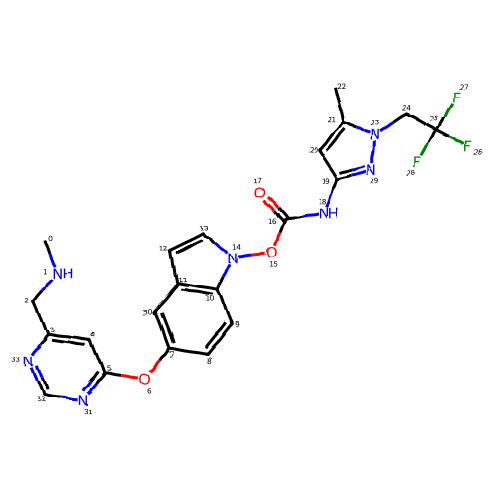 CNCc1cc(Oc2ccc3c(ccn3OC(=O)Nc3cc(C)n(CC(F)(F)F)n3)c2)ncn1